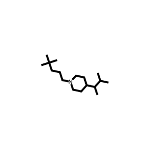 CC(C)C(C)C1CCN(CCCC(C)(C)C)CC1